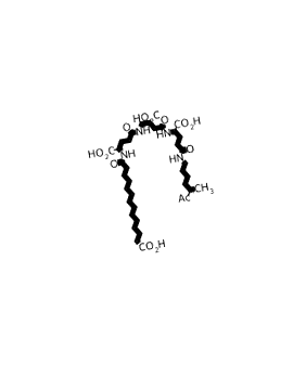 CC(=O)[C@@H](C)CCCCNC(=O)CC[C@H](NC(=O)CC[C@H](NC(=O)CC[C@H](NC(=O)CCCCCCCCCCCCC(=O)O)C(=O)O)C(=O)O)C(=O)O